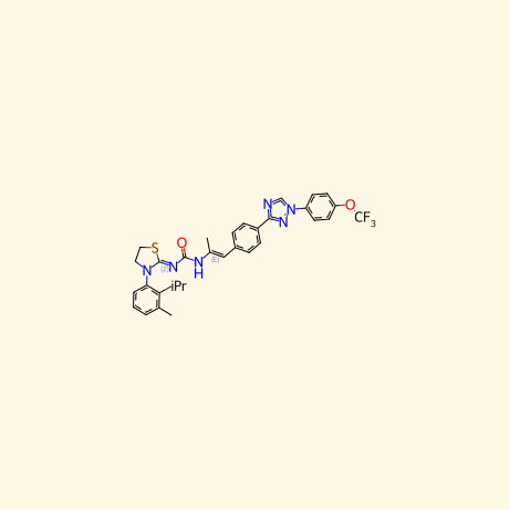 C/C(=C\c1ccc(-c2ncn(-c3ccc(OC(F)(F)F)cc3)n2)cc1)NC(=O)/N=C1\SCCN1c1cccc(C)c1C(C)C